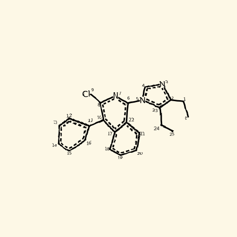 CCc1ncn(-c2nc(Cl)c(-c3ccccc3)c3ccccc23)c1CC